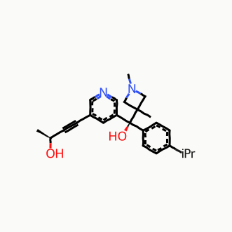 CC(C)c1ccc([C@](O)(c2cncc(C#C[C@H](C)O)c2)C2(C)CN(C)C2)cc1